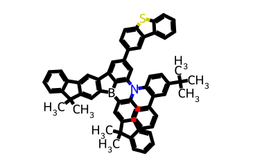 CC(C)(C)c1ccc(N2c3cc4c(cc3B3c5cc6c(cc5-c5cc(-c7ccc8sc9ccccc9c8c7)cc2c53)-c2ccccc2C6(C)C)C(C)(C)c2ccccc2-4)c(-c2ccccc2)c1